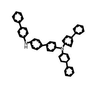 C1=CC(c2ccccc2)CC=C1N(c1ccc(-c2ccccc2)cc1)c1ccc(-c2ccc(Nc3ccc(-c4ccccc4)cc3)cc2)cc1